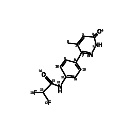 Cc1cc(=O)[nH]nc1-c1ccc(NC(=O)C(F)F)cc1